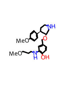 COCCCNc1cc(CO[C@H]2CNCC[C@@H]2c2ccc(OC)cc2)ccc1O